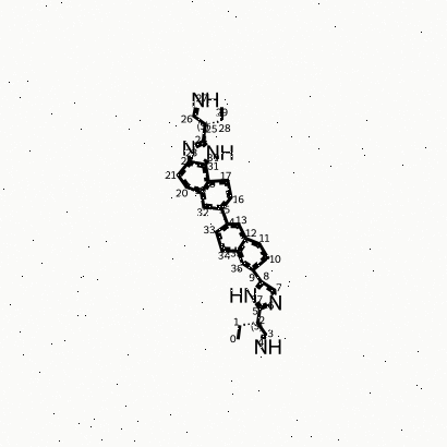 CC[C@@H](C=N)c1ncc(-c2ccc3cc(-c4ccc5c(ccc6nc([C@H](C=N)CC)[nH]c65)c4)ccc3c2)[nH]1